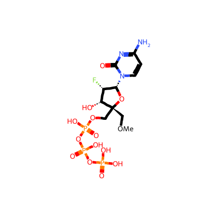 COC[C@]1(COP(=O)(O)OP(=O)(O)OP(=O)(O)O)O[C@@H](n2ccc(N)nc2=O)[C@@H](F)[C@H]1O